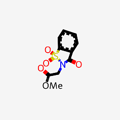 COC(=O)CN1C(=O)c2ccccc2S1(=O)=O